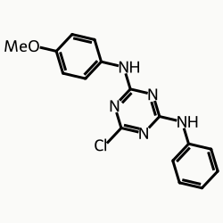 COc1ccc(Nc2nc(Cl)nc(Nc3ccccc3)n2)cc1